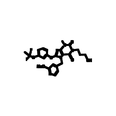 COc1cc(Cn2c(Oc3cccc(OC(C)(F)F)c3)nc3c2c(=O)n(CCCO)c(=O)n3C)ccn1